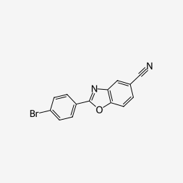 N#Cc1ccc2oc(-c3ccc(Br)cc3)nc2c1